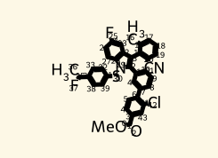 COC(=O)c1ccc(-c2cccc(-c3c(-c4c(C)cccc4C#N)c4cc(F)ccc4n3Sc3ccc(C(C)F)cc3)c2)c(Cl)c1